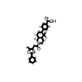 Cc1oc(-c2ccccc2)nc1CC(=O)N1CC=C2C(C)(C)C(c3ccc(C(=O)O)cc3)=CC[C@]2(C)C1